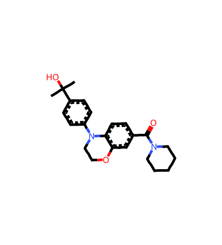 CC(C)(O)c1ccc(N2CCOc3cc(C(=O)N4CCCCC4)ccc32)cc1